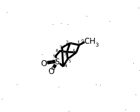 CC1C2CC3C4C1C24CCS3(=O)=O